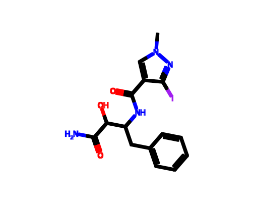 Cn1cc(C(=O)NC(Cc2ccccc2)C(O)C(N)=O)c(I)n1